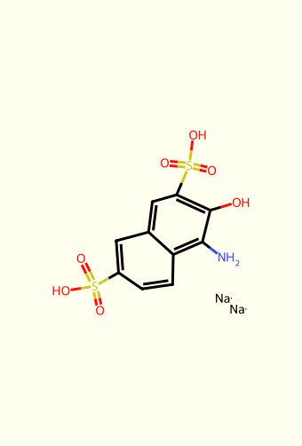 Nc1c(O)c(S(=O)(=O)O)cc2cc(S(=O)(=O)O)ccc12.[Na].[Na]